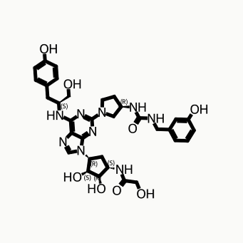 O=C(CO)N[C@H]1C[C@@H](n2cnc3c(N[C@H](CO)Cc4ccc(O)cc4)nc(N4CC[C@@H](NC(=O)NCc5cccc(O)c5)C4)nc32)[C@H](O)[C@@H]1O